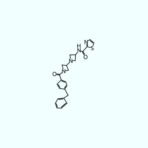 O=C(NC1CN(C2CN(C(=O)c3ccc(Cc4ccccc4)cc3)C2)C1)c1nccs1